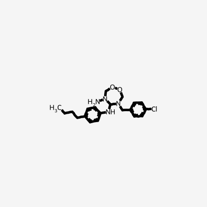 CCCCc1ccc(NC2N(N)COOCN2Cc2ccc(Cl)cc2)cc1